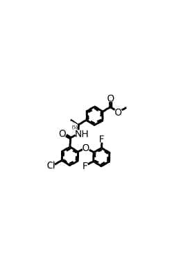 COC(=O)c1ccc([C@H](C)NC(=O)c2cc(Cl)ccc2Oc2c(F)cccc2F)cc1